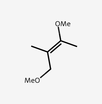 COC/C(C)=C(\C)OC